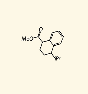 COC(=O)C1CCC(C(C)C)c2ccccc21